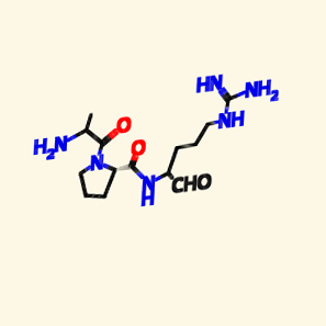 CC(N)C(=O)N1CCC[C@H]1C(=O)NC(C=O)CCCNC(=N)N